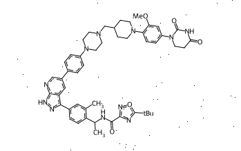 COc1cc(N2CCC(=O)NC2=O)ccc1N1CCC(CN2CCN(c3ccc(-c4cnc5[nH]nc(-c6ccc(C(C)NC(=O)c7noc(C(C)(C)C)n7)c(C)c6)c5c4)cc3)CC2)CC1